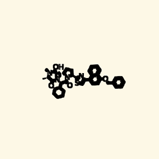 C[C@@H](C(=O)N[C@H](C(=O)N1CCC[C@H]1c1nc(-c2ccc(OCc3ccccc3)c3ccccc23)cs1)C1CCCCC1)N(C)C(=O)O